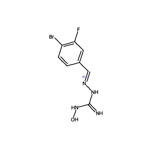 N=C(NO)N/N=C/c1ccc(Br)c(F)c1